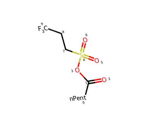 CCCCCC(=O)OS(=O)(=O)CCC(F)(F)F